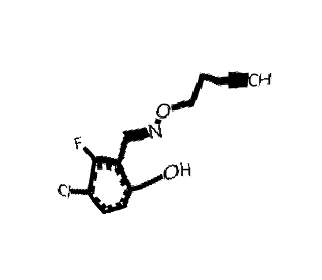 C#CCCON=Cc1c(O)ccc(Cl)c1F